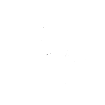 CC(=O)Oc1ccc2c3c1C[C@@H]1[C@@H]4CC[C@@H](N(CC(C)C)C(=O)C=Cc5ccoc5)[C@@H](O2)[C@]34CCN1CC1CC1